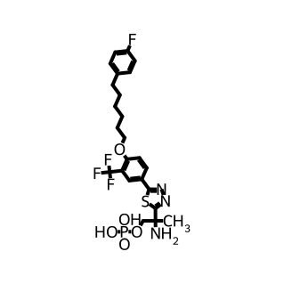 CC(N)(COP(=O)(O)O)c1nnc(-c2ccc(OCCCCCCc3ccc(F)cc3)c(C(F)(F)F)c2)s1